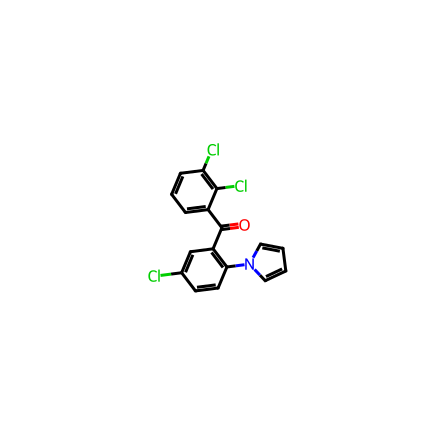 O=C(c1cc(Cl)ccc1-n1cccc1)c1cccc(Cl)c1Cl